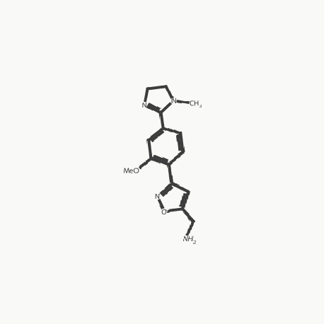 COc1cc(C2=NCCN2C)ccc1-c1cc(CN)on1